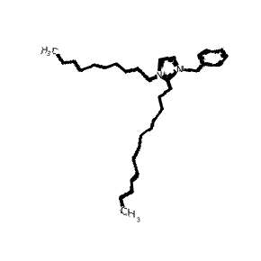 CCCCCCCCCCCCCc1n(Cc2ccccc2)cc[n+]1CCCCCCCCCC